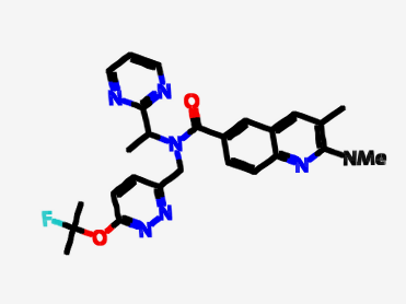 CNc1nc2ccc(C(=O)N(Cc3ccc(OC(C)(C)F)nn3)C(C)c3ncccn3)cc2cc1C